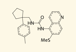 CSc1ccc2ncccc2c1NC(=O)NCC1(c2ccc(C)cc2)CCCC1